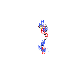 Cc1c(O[C@H]2CC[C@H](CCCCN3CCN(c4ccc5c(C6CCC(=O)NC6=O)nn(C)c5c4)CC3(C)C)CC2)cccc1-c1ccc(N2CCc3cccc(C(=O)Nc4nc5ccccc5s4)c3C2)nc1C(=O)OC(C)(C)C